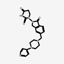 O=C1CCN(N2Cc3cc(CN4CCN(c5ccncc5)CC4)ccc3C2=O)C(=O)N1